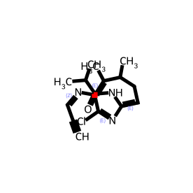 C#C\C=N/C1=C(\C)C(C)C/C=C(NC(=O)C(C)C)/N=C\1Cl